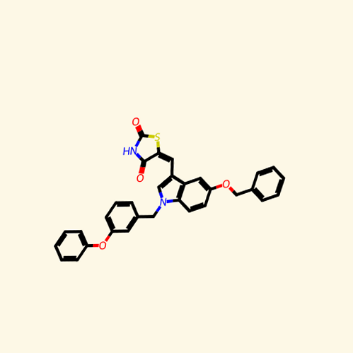 O=C1NC(=O)/C(=C\c2cn(Cc3cccc(Oc4ccccc4)c3)c3ccc(OCc4ccccc4)cc23)S1